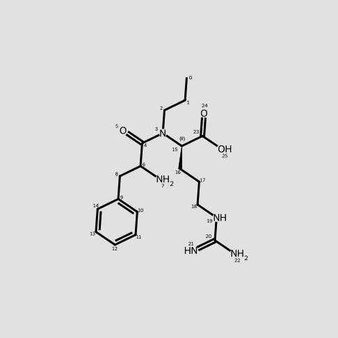 CCCN(C(=O)C(N)Cc1ccccc1)[C@H](CCCNC(=N)N)C(=O)O